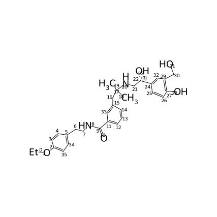 CCOc1ccc(CCNC(=O)c2cccc(CC(C)(C)NC[C@H](O)c3ccc(O)c(CO)c3)c2)cc1